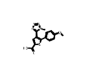 COc1ccc(-c2sc(C(=O)O)cc2-c2nnnn2C)cc1